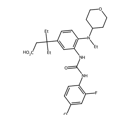 CCN(c1ccc(C(CC)(CC)CC(=O)O)cc1NC(=O)Nc1ccc(Cl)cc1F)C1CCOCC1